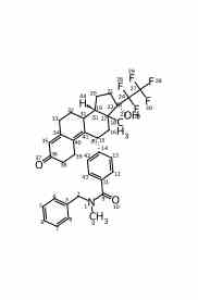 CN(Cc1ccccc1)C(=O)c1ccc([C@H]2CC3(C)[C@@H](CC[C@@]3(O)C(F)(F)C(F)(F)F)C3CCC4=CC(=O)CCC4=C32)cc1